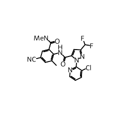 CNC(=O)c1cc(C#N)cc(C)c1NC(=O)c1cc(C(F)F)nn1-c1ncccc1Cl